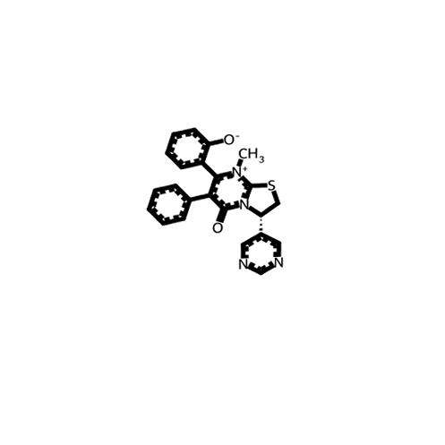 C[n+]1c(-c2ccccc2[O-])c(-c2ccccc2)c(=O)n2c1SC[C@@H]2c1cncnc1